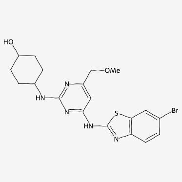 COCc1cc(Nc2nc3ccc(Br)cc3s2)nc(NC2CCC(O)CC2)n1